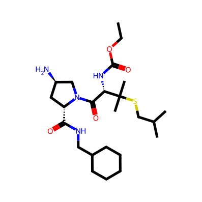 CCOC(=O)N[C@@H](C(=O)N1C[C@H](N)C[C@H]1C(=O)NCC1CCCCC1)C(C)(C)SCC(C)C